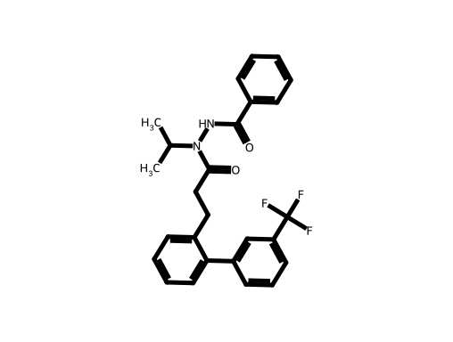 CC(C)N(NC(=O)c1ccccc1)C(=O)CCc1ccccc1-c1cccc(C(F)(F)F)c1